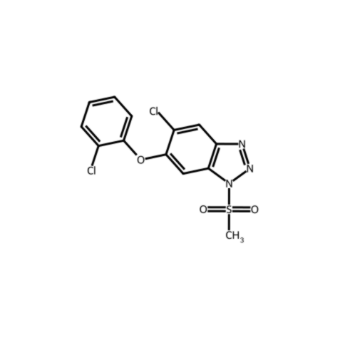 CS(=O)(=O)n1nnc2cc(Cl)c(Oc3ccccc3Cl)cc21